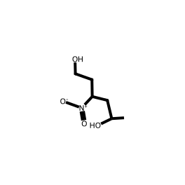 CC(O)CC(CCO)[N+](=O)[O-]